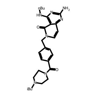 CCCCNc1nc(N)nc2ccn(Cc3ccc(C(=O)N4CCN(C(C)CC)CC4)cc3)c(=O)c12